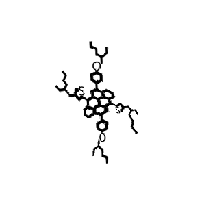 CCCCC(CC)COc1ccc(-c2cc3c(-c4cc(CC(CC)CCCC)cs4)c4cccc5c(-c6ccc(OCC(CC)CCCC)cc6)cc6c(-c7cc(CC(CC)CCCC)cs7)c7cccc2c7c3c6c54)cc1